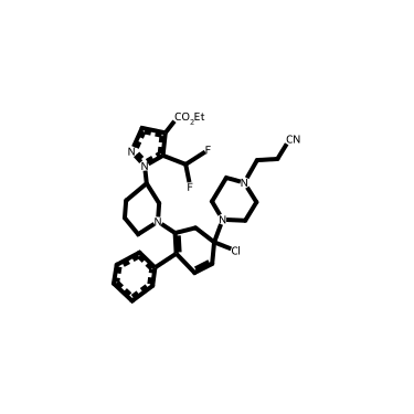 CCOC(=O)c1cnn(C2CCCN(C3=C(c4ccccc4)C=CC(Cl)(N4CCN(CCC#N)CC4)C3)C2)c1C(F)F